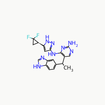 C[C@@H](c1ccc2[nH]cnc2c1)c1cnc(N)nc1Nc1cc([C@H]2CC2(F)F)[nH]n1